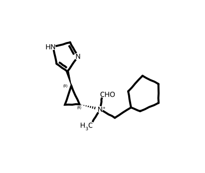 C[N+](C=O)(CC1CCCCC1)[C@@H]1C[C@H]1c1c[nH]cn1